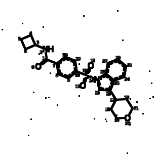 O=C(NC1CCC1)c1ccc(S(=O)(=O)n2cc(C3CCOCC3)c3ccccc32)cc1